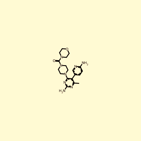 Cc1nc(N)nc(N2CCN(C(=O)N3CCOCC3)CC2)c1-c1ccc(N)nc1